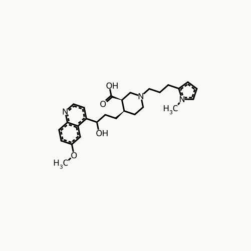 COc1ccc2nccc(C(O)CC[C@@H]3CCN(CCCc4cccn4C)C[C@@H]3C(=O)O)c2c1